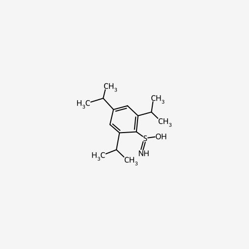 CC(C)c1cc(C(C)C)c(S(=N)O)c(C(C)C)c1